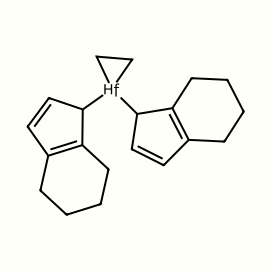 C1=C[CH]([Hf]2([CH]3C=CC4=C3CCCC4)[CH2][CH2]2)C2=C1CCCC2